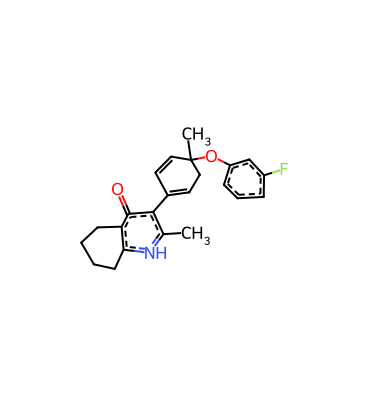 Cc1[nH]c2c(c(=O)c1C1=CCC(C)(Oc3cccc(F)c3)C=C1)CCCC2